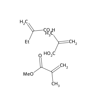 C=C(C)C(=O)O.C=C(C)C(=O)OC.C=C(CC)C(=O)O